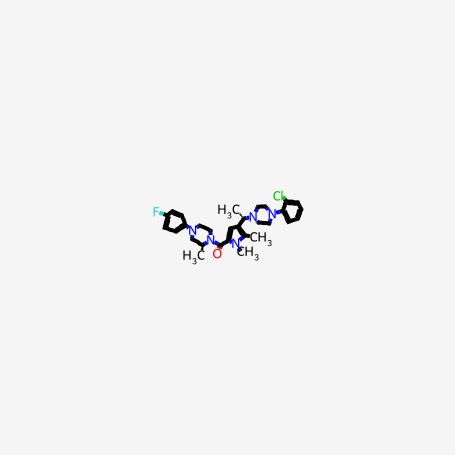 Cc1c([C@H](C)N2CCN(c3ccccc3Cl)CC2)cc(C(=O)N2CCN(c3ccc(F)cc3)C[C@@H]2C)n1C